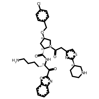 NCCCC[C@H](NC(=O)[C@@H]1C[C@@H](OCc2ccc(Cl)cc2)CN1C(=O)Cc1csc([C@@H]2CCCNC2)n1)C(=O)c1nc2ccccc2o1